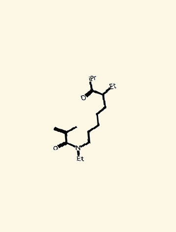 C=C(C)C(=O)N(CC)CCCCCC(CC)C(=O)C(C)C